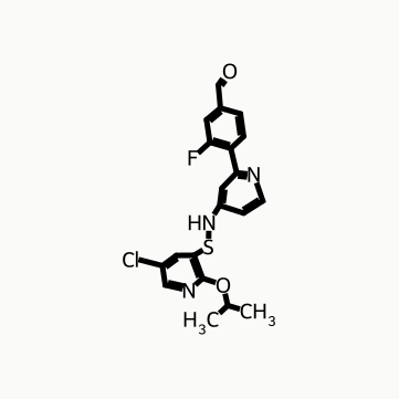 CC(C)Oc1ncc(Cl)cc1SNc1ccnc(-c2ccc(C=O)cc2F)c1